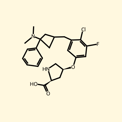 CN(C)C1(c2ccccc2)CC(Cc2cc(O[C@@H]3CN[C@H](C(=O)O)C3)cc(F)c2Cl)C1